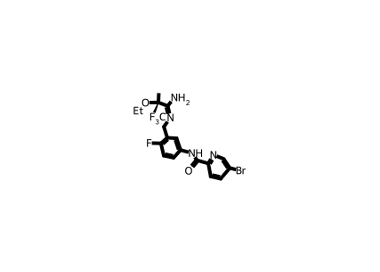 CCO[C@](C)(/C(N)=N\Cc1cc(NC(=O)c2ccc(Br)cn2)ccc1F)C(F)(F)F